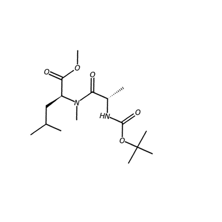 COC(=O)[C@H](CC(C)C)N(C)C(=O)[C@H](C)NC(=O)OC(C)(C)C